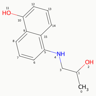 CC(O)CNc1cccc2c(O)cccc12